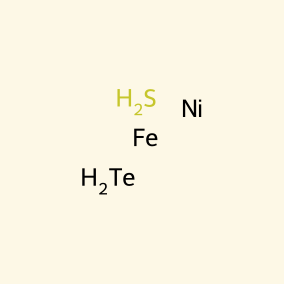 S.[Fe].[Ni].[TeH2]